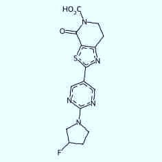 O=C(O)N1CCc2nc(-c3cnc(N4CCC(F)C4)nc3)sc2C1=O